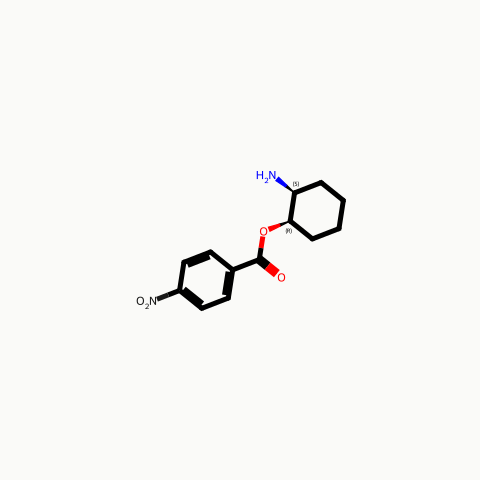 N[C@H]1CCCC[C@H]1OC(=O)c1ccc([N+](=O)[O-])cc1